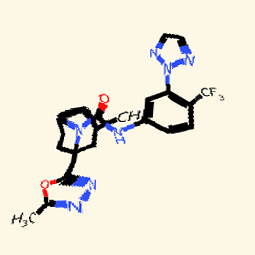 Cc1nnc(C23CC(C)CC(C2)N3C(=O)Nc2ccc(C(F)(F)F)c(-n3nccn3)c2)o1